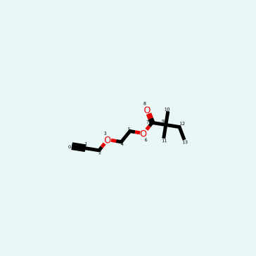 C#CCOCCOC(=O)C(C)(C)CC